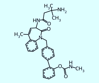 CNC(=O)Oc1ccccc1-c1ccc(CN2C(=O)C(NC(=O)CC(C)(C)N)C=C(C)c3ccccc32)cc1